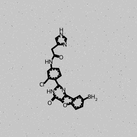 Bc1ccc2oc3c(=O)[nH]c(-c4ccc(NC(=O)Cc5c[nH]cn5)cc4Cl)nc3c2c1